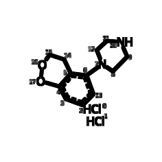 Cl.Cl.c1cc2c(c(N3CCNCC3)c1)CCOO2